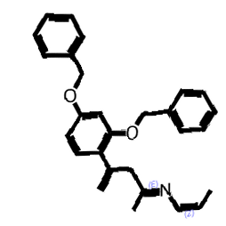 C=C(C/C(C)=N/C=C\C)c1ccc(OCc2ccccc2)cc1OCc1ccccc1